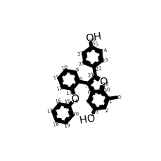 Cc1cc(O)cc2c(-c3ccccc3Oc3ccccc3)c(-c3ccc(O)cc3)oc12